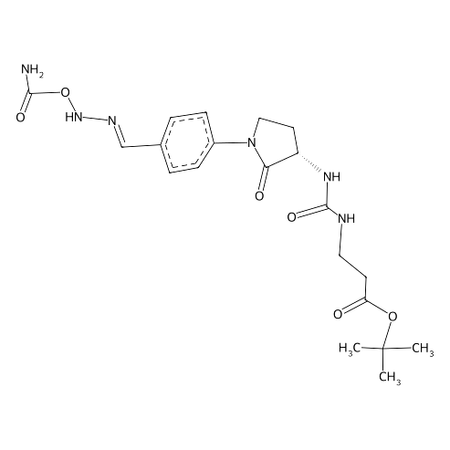 CC(C)(C)OC(=O)CCNC(=O)N[C@H]1CCN(c2ccc(C=NNOC(N)=O)cc2)C1=O